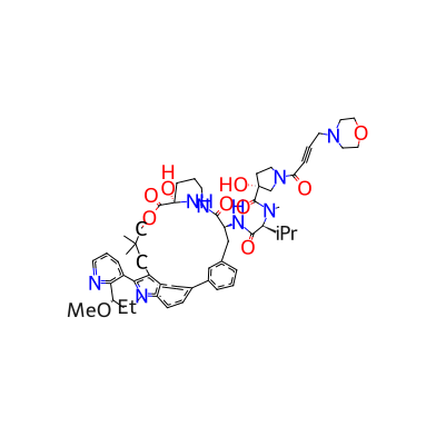 CCn1c(-c2cccnc2[C@H](C)OC)c2c3cc(ccc31)-c1cccc(c1)C[C@H](NC(=O)[C@H](C(C)C)N(C)C(=O)[C@@]1(O)CCN(C(=O)C#CCN3CCOCC3)C1)C(=O)N1CCC[C@@](O)(N1)C(=O)OCC(C)(C)C2